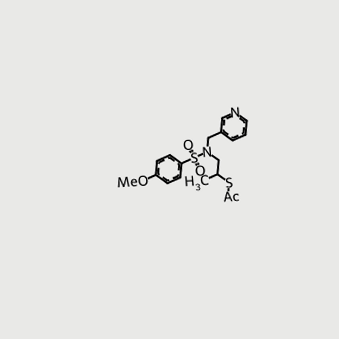 COc1ccc(S(=O)(=O)N(Cc2cccnc2)CC(C)SC(C)=O)cc1